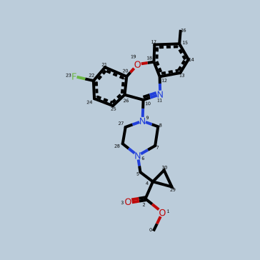 COC(=O)C1(CN2CCN(C3=Nc4ccc(C)cc4Oc4cc(F)ccc43)CC2)CC1